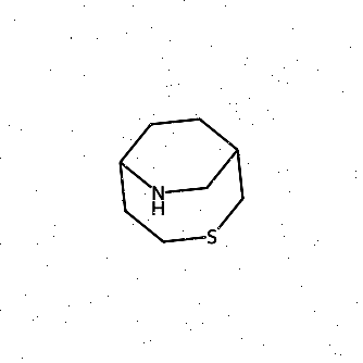 C1CC2CCC(CN2)CS1